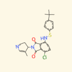 CC1=CN=CCC1N1C(=O)c2c(Cl)ccc(NSc3ccc(C(C)(C)C)cc3)c2C1=O